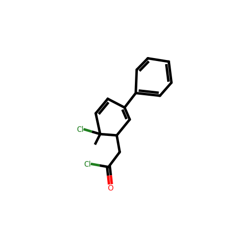 CC1(Cl)C=CC(c2ccccc2)=CC1CC(=O)Cl